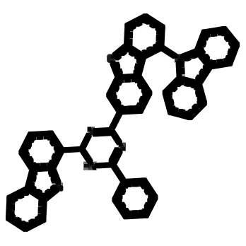 c1ccc(C2=NC(c3ccc4c(c3)oc3cccc(-n5c6ccccc6c6ccccc65)c34)=NC(c3cccc4c3sc3ccccc34)N2)cc1